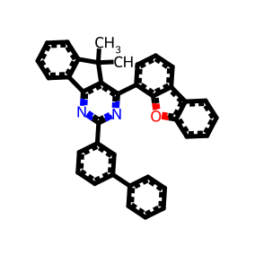 CC1(C)c2ccccc2-c2nc(-c3cccc(-c4ccccc4)c3)nc(-c3cccc4c3oc3ccccc34)c21